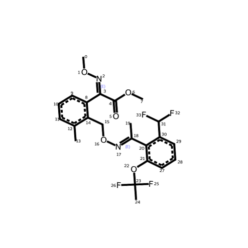 CO/N=C(/C(=O)OC)c1cccc(C)c1CO/N=C(\C)c1c(OC(C)(F)F)cccc1C(F)F